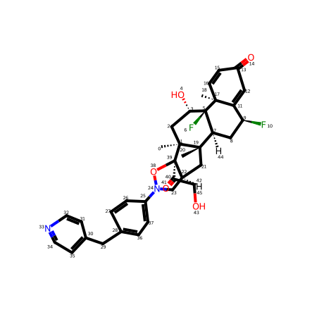 C[C@]12C[C@H](O)[C@@]3(F)[C@@H](C[C@H](F)C4=CC(=O)C=C[C@@]43C)[C@]1(C)C[C@H]1CN(c3ccc(Cc4ccncc4)cc3)O[C@]12C(=O)CO